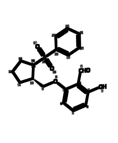 O=Cc1c(O)cccc1OC[C@@H]1CCCN1S(=O)(=O)c1ccccc1